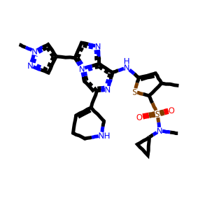 CC1C=C(Nc2nc(C3=CCCNC3)cn3c(-c4cnn(C)c4)cnc23)SC1S(=O)(=O)N(C)C1CC1